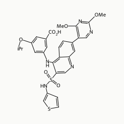 COc1ncc(-c2ccc3c(Nc4cc(OC(C)C)cc(C(=O)O)c4)c(S(=O)(=O)Nc4ccsc4)cnc3c2)c(OC)n1